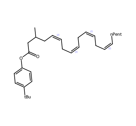 CCCCC/C=C\C/C=C\C/C=C\C/C=C\CC(C)CC(=O)Oc1ccc(C(C)(C)C)cc1